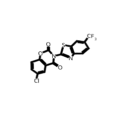 O=c1oc2ccc(Cl)cc2c(=O)n1-c1nc2ccc(C(F)(F)F)cc2s1